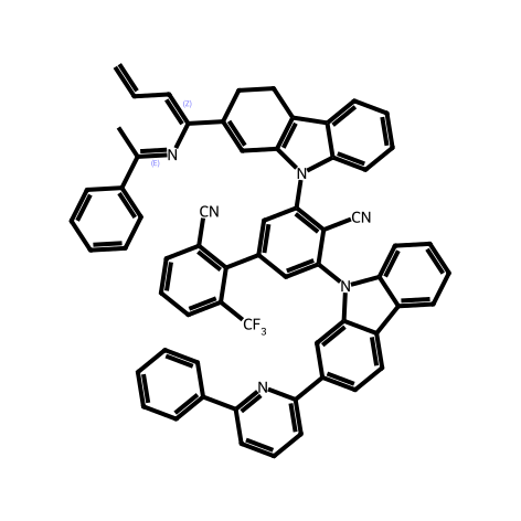 C=C/C=C(\N=C(/C)c1ccccc1)C1=Cc2c(c3ccccc3n2-c2cc(-c3c(C#N)cccc3C(F)(F)F)cc(-n3c4ccccc4c4ccc(-c5cccc(-c6ccccc6)n5)cc43)c2C#N)CC1